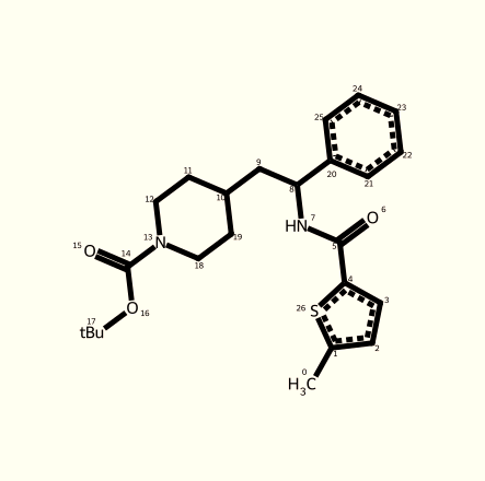 Cc1ccc(C(=O)NC(CC2CCN(C(=O)OC(C)(C)C)CC2)c2ccccc2)s1